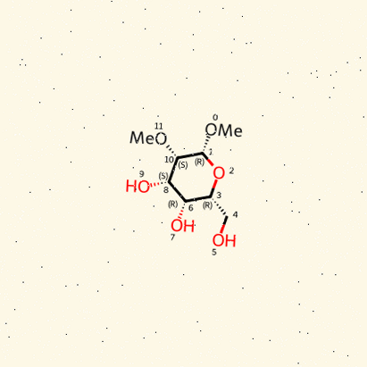 CO[C@@H]1O[C@H](CO)[C@H](O)[C@H](O)[C@@H]1OC